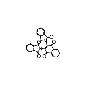 O=C1C2=CCCC=C2C(=O)C(N2C(=O)c3ccccc3C2=O)=C1N1C(=O)c2ccccc2C1=O